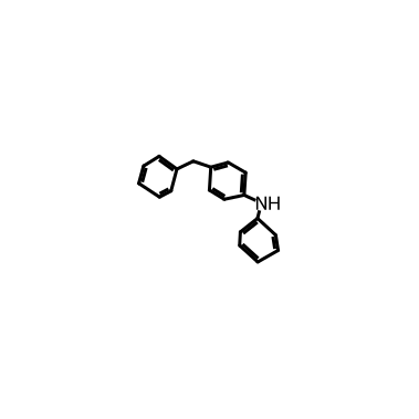 c1ccc(Cc2ccc(Nc3ccccc3)cc2)cc1